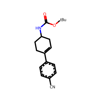 CC(C)(C)OC(=O)NC1CC=C(c2ccc(C#N)cc2)CC1